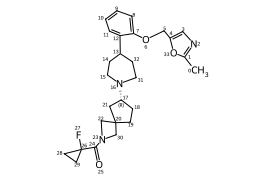 Cc1ncc(COc2ccccc2C2CCN([C@@H]3CCC4(C3)CN(C(=O)C3(F)CC3)C4)CC2)o1